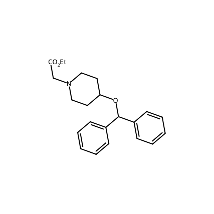 CCOC(=O)CN1CCC(OC(c2ccccc2)c2ccccc2)CC1